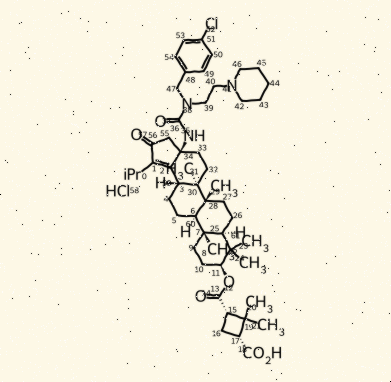 CC(C)C1=C2[C@H]3CC[C@@H]4[C@@]5(C)CC[C@H](OC(=O)[C@H]6C[C@@H](C(=O)O)C6(C)C)C(C)(C)[C@@H]5CC[C@@]4(C)[C@]3(C)CC[C@@]2(NC(=O)N(CCN2CCCCC2)Cc2ccc(Cl)cc2)CC1=O.Cl